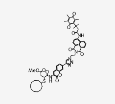 COC(=O)CC(SC1CCCCCCCCC1)C(=O)Nc1cc2ccc(-c3cn(CCN4C(=O)c5cccc6c(NC(=O)CC(C)(C)C7=C(C)C(=O)C(C)=C(C)C7=O)ccc(c56)C4=O)nn3)cc2oc1=O